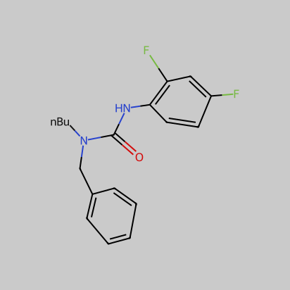 CCCCN(Cc1ccccc1)C(=O)Nc1ccc(F)cc1F